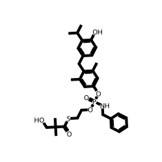 Cc1cc(OP(=O)(NCc2ccccc2)OCCSC(=O)C(C)(C)CO)cc(C)c1Cc1ccc(O)c(C(C)C)c1